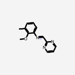 COc1c(C)cccc1/N=C/c1ncccn1